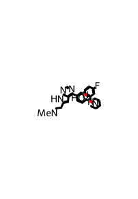 CNCCc1cc2c(-c3ccc(N4CC5CC(C4)N5Cc4cc(F)ccc4O)nc3)ncnc2[nH]1